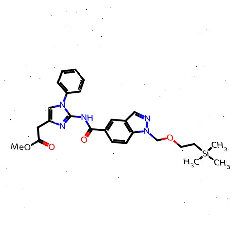 COC(=O)Cc1cn(-c2ccccc2)c(NC(=O)c2ccc3c(cnn3COCC[Si](C)(C)C)c2)n1